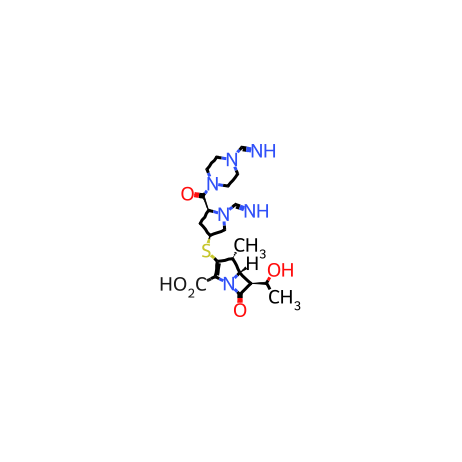 CC(O)[C@H]1C(=O)N2C(C(=O)O)=C(S[C@H]3C[C@@H](C(=O)N4CCN(C=N)CC4)N(C=N)C3)[C@H](C)[C@H]12